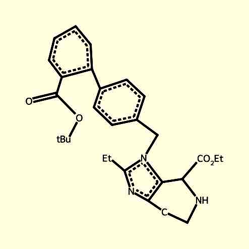 CCOC(=O)C1NCCc2nc(CC)n(Cc3ccc(-c4ccccc4C(=O)OC(C)(C)C)cc3)c21